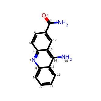 NC(=O)c1ccc2nc3ccccc3c(N)c2c1